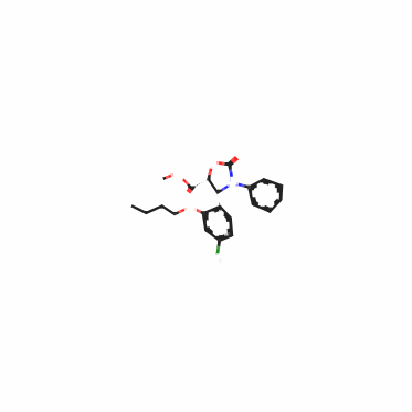 CCCCOc1cc(Br)ccc1[C@@H]1[C@@H](C(=O)OC)OC(=O)N1c1ccccc1